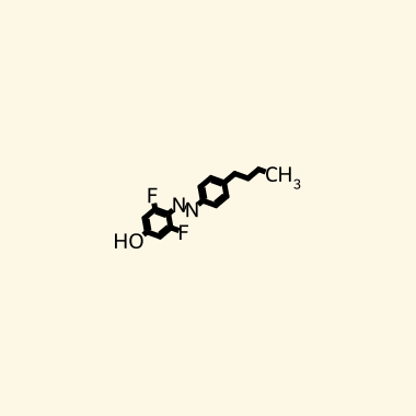 CCCCc1ccc(N=Nc2c(F)cc(O)cc2F)cc1